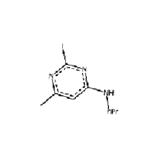 CCCNc1cc(C)nc(I)n1